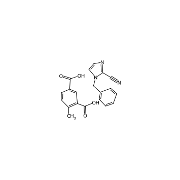 Cc1ccc(C(=O)O)cc1C(=O)O.N#Cc1nccn1Cc1ccccc1